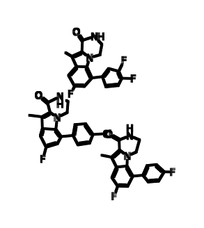 Cc1c2n(c3c(-c4ccc(Cl)cc4)cc(F)cc13)CCNC2=O.Cc1c2n(c3c(-c4ccc(F)c(F)c4)cc(F)cc13)CCNC2=O.Cc1c2n(c3c(-c4ccc(F)cc4)cc(F)cc13)CCNC2=O